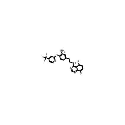 Bc1cc(CCNc2ncnc3c(F)ccc(F)c23)ccc1Oc1cc(C(F)(F)F)ccn1